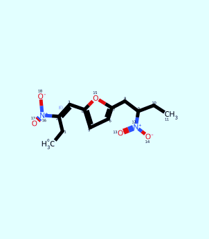 CC/C(=C\c1ccc(CC(CC)[N+](=O)[O-])o1)[N+](=O)[O-]